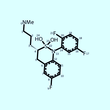 CNCCC[C@H]1Cc2cc(F)ccc2N(c2cc(F)ccc2F)S1(O)O